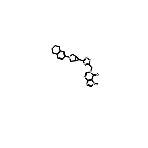 Cn1cnc2ncn(Cc3nc(C4C5CN(c6ccc7c(c6)CCCC7)CC54)no3)c(=O)c21